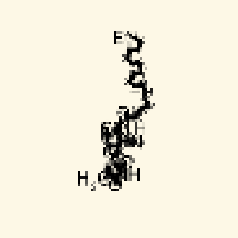 CC/C=C\C/C=C\C/C=C\C/C=C\C/C=C\C/C=C\CCC(=O)NCCN(C[C@@H]1O[C@H](n2cc(C)c(=O)[nH]c2=O)C[C@@H]1N=[N+]=[N-])C(=O)O